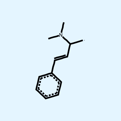 [CH2]C(C=Cc1ccccc1)N(C)C